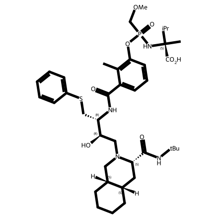 COCP(=O)(N[C@](C)(C(=O)O)C(C)C)Oc1cccc(C(=O)N[C@@H](CSc2ccccc2)[C@H](O)CN2C[C@H]3CCCC[C@H]3C[C@H]2C(=O)NC(C)(C)C)c1C